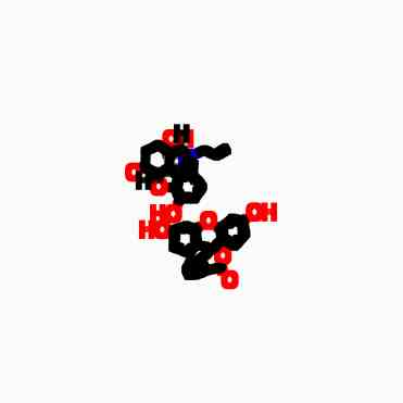 C=CCN1CC[C@]23c4c5ccc(O)c4O[C@H]2C(=O)CC[C@@]3(O)[C@H]1C5.O=C1OC2(c3ccc(O)cc3Oc3cc(O)ccc32)c2ccccc21